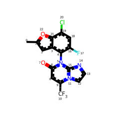 Cc1cc2c(-n3c(=O)cc(C(F)(F)F)n4ccnc34)c(F)cc(Cl)c2o1